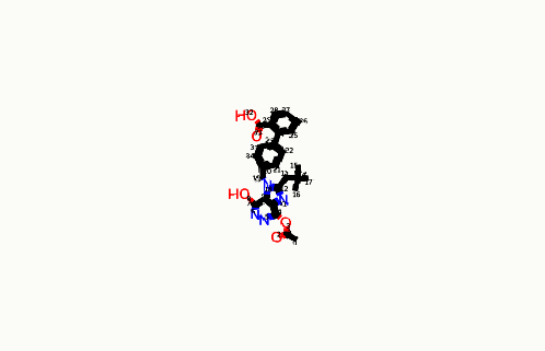 CC(=O)Oc1nnc(O)c2c1nc(CC(C)(C)C)n2Cc1ccc(-c2ccccc2C(=O)O)cc1